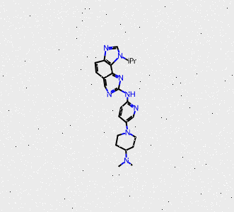 CC(C)n1cnc2ccc3cnc(Nc4ccc(N5CCC(N(C)C)CC5)cn4)nc3c21